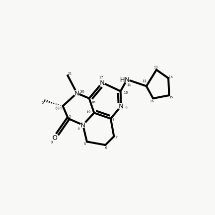 C[C@H]1C(=O)N2CCCc3nc(NC4CCCC4)nc(c32)N1C